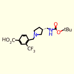 CC(C)(C)OC(=O)NC[C@H]1CCN(Cc2ccc(C(=O)O)cc2C(F)(F)F)C1